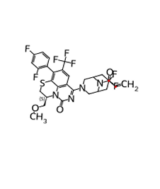 C=CC(=O)N1C2CN(c3nc(=O)n4c5c(c(-c6ccc(F)cc6F)c(C(F)(F)F)cc35)SC[C@@H]4COC)CC1CC(F)(F)C2